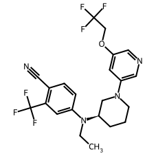 CCN(c1ccc(C#N)c(C(F)(F)F)c1)[C@@H]1CCCN(c2cncc(OCC(F)(F)F)c2)C1